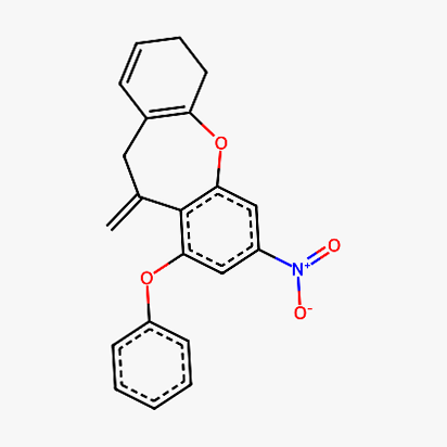 C=C1CC2=C(CCC=C2)Oc2cc([N+](=O)[O-])cc(Oc3ccccc3)c21